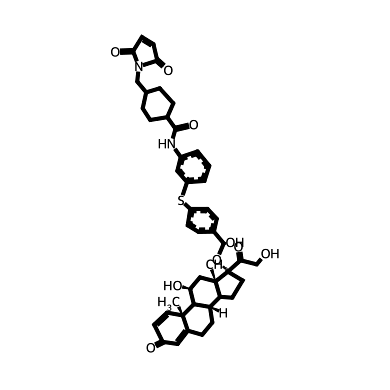 C[C@]12C=CC(=O)C=C1CC[C@@H]1C2[C@@H](O)C[C@@]2(C)C1CC[C@]2(O[C@@H](O)c1ccc(Sc2cccc(NC(=O)C3CCC(CN4C(=O)C=CC4=O)CC3)c2)cc1)C(=O)CO